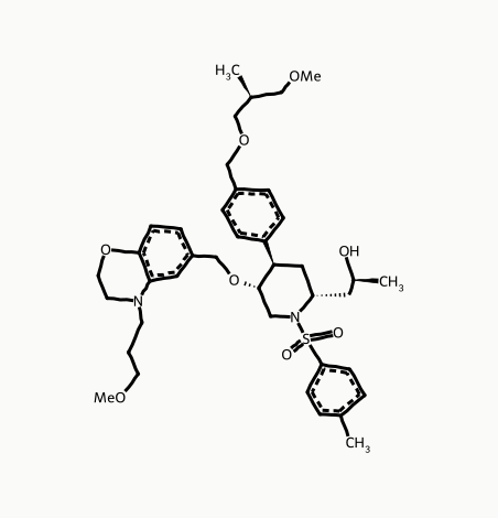 COCCCN1CCOc2ccc(CO[C@H]3CN(S(=O)(=O)c4ccc(C)cc4)[C@@H](C[C@H](C)O)C[C@@H]3c3ccc(COC[C@@H](C)COC)cc3)cc21